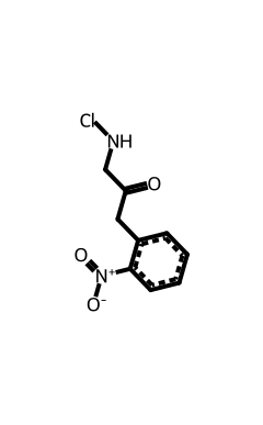 O=C(CNCl)Cc1ccccc1[N+](=O)[O-]